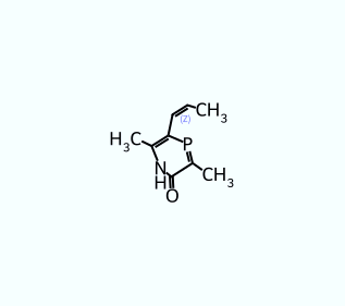 C/C=C\c1pc(C)c(=O)[nH]c1C